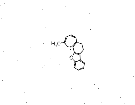 CC1=CC=CC2=C(C1)c1oc3ccccc3c1CC2